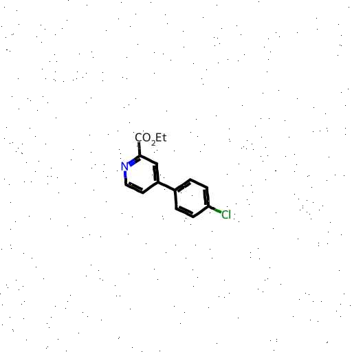 CCOC(=O)c1cc(-c2ccc(Cl)cc2)ccn1